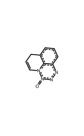 O=[n+]1nnc2cccc3c2n1C=CC3